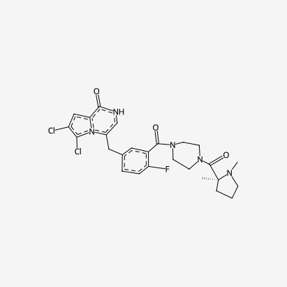 CN1CCC[C@@]1(C)C(=O)N1CCN(C(=O)c2cc(Cc3c[nH]c(=O)c4cc(Cl)c(Cl)n34)ccc2F)CC1